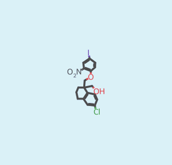 O=[N+]([O-])c1cc(I)ccc1OCC1(CO)CCCc2cc(Cl)ccc21